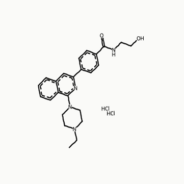 CCN1CCN(c2nc(-c3ccc(C(=O)NCCO)cc3)cc3ccccc23)CC1.Cl.Cl